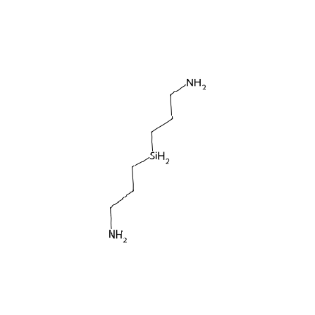 NCCC[SiH2]CCCN